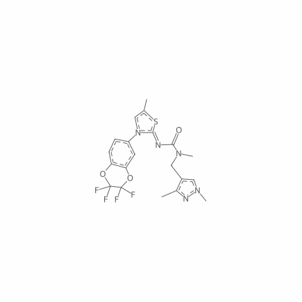 Cc1cn(-c2ccc3c(c2)OC(F)(F)C(F)(F)O3)c(=NC(=O)N(C)Cc2cn(C)nc2C)s1